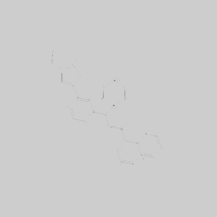 CCn1cc(-c2cccc(C(NC(=O)c3cccc4ccccc34)C3(O)CCC(F)(F)CC3)c2)cn1